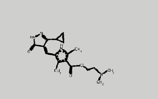 Cc1[nH]c(C=C2C(=O)NN=C2C2CC2)c(C)c1C(=O)OCCN(C)C